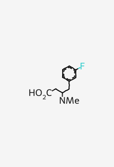 CNC(CC(=O)O)Cc1cccc(F)c1